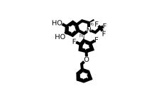 C[C@@H]1Cc2cc(O)c(O)cc2[C@@H](c2c(F)cc(OCc3ccccc3)cc2F)N1CC(F)(F)F